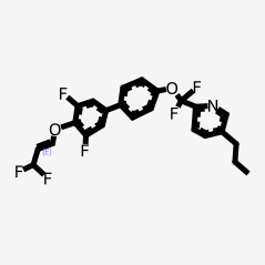 CCCc1ccc(C(F)(F)Oc2ccc(-c3cc(F)c(O/C=C/C(F)F)c(F)c3)cc2)nc1